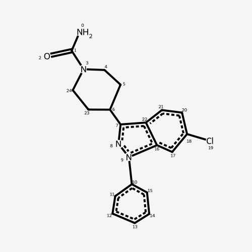 NC(=O)N1CCC(c2nn(-c3ccccc3)c3cc(Cl)ccc23)CC1